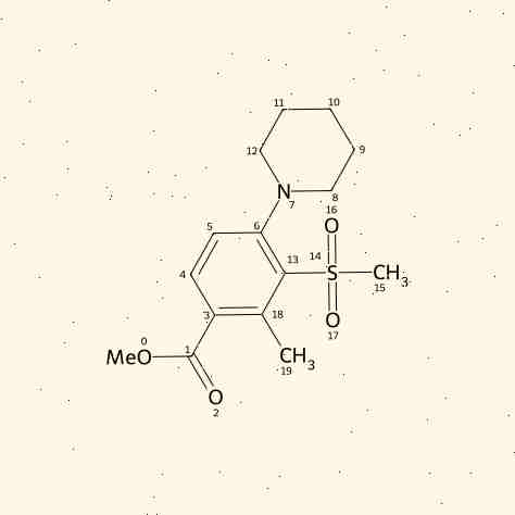 COC(=O)c1ccc(N2CCCCC2)c(S(C)(=O)=O)c1C